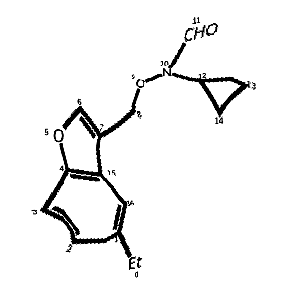 CCc1ccc2occ(CON(C=O)C3CC3)c2c1